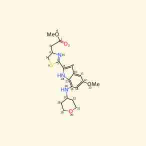 COC(=O)CC1CSC(c2cc3cc(OC)cc(NC4CCOCC4)c3[nH]2)=N1